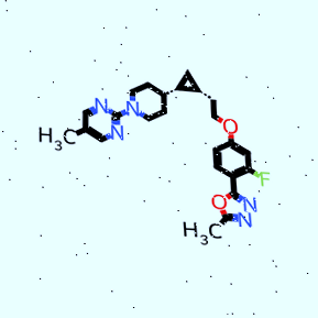 Cc1cnc(N2CCC([C@@H]3C[C@@H]3CCOc3ccc(-c4nnc(C)o4)c(F)c3)CC2)nc1